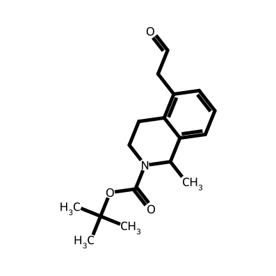 CC1c2cccc(CC=O)c2CCN1C(=O)OC(C)(C)C